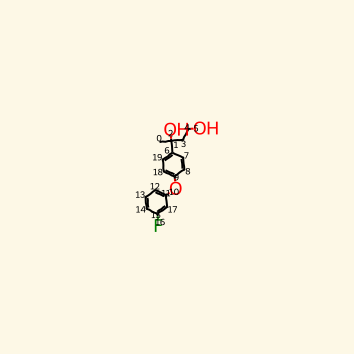 CC(O)(CCO)c1ccc(Oc2cccc(F)c2)cc1